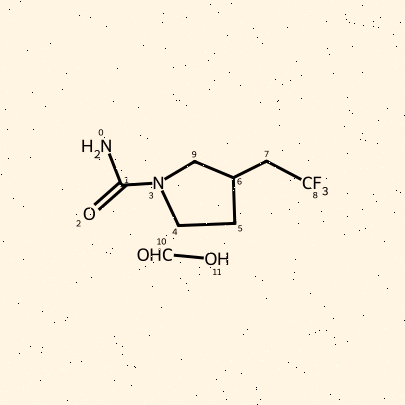 NC(=O)N1CCC(CC(F)(F)F)C1.O=CO